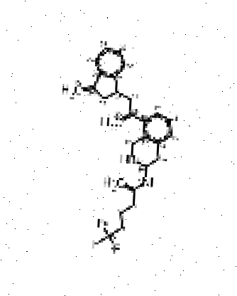 C=C(CCCC(F)(F)F)NC1BCc2c(cccc2C(=C)CC2CC(=C)c3ccccc32)C1